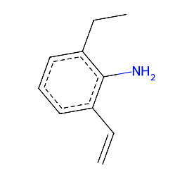 C=Cc1cccc(CC)c1N